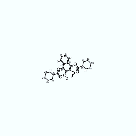 COc1c(OC)c(OC(=O)C2CCCCC2)c2ccccc2c1OC(=O)C1CCCCC1